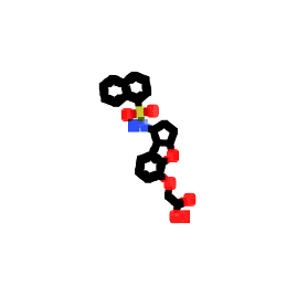 O=C(O)COc1cccc2c1OC1CCC(NS(=O)(=O)c3cccc4ccccc34)C21